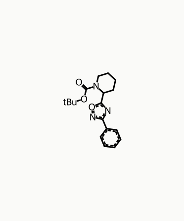 CC(C)(C)OC(=O)N1CCCCC1c1nc(-c2ccccc2)no1